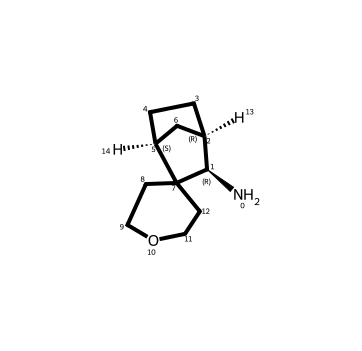 N[C@@H]1[C@@H]2CC[C@@H](C2)C12CCOCC2